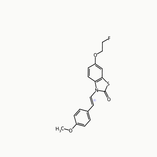 COc1ccc(/C=C/n2c(=O)sc3cc(OCCF)ccc32)cc1